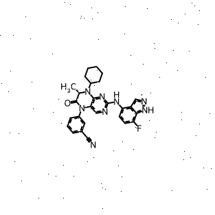 C[C@@H]1C(=O)N(c2cccc(C#N)c2)c2cnc(Nc3ccc(F)c4[nH]ncc34)nc2N1C1CCCCC1